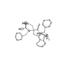 CC(NC(=O)C(CC#N)(Cc1c[nH]c2ccccc12)N(Cc1ccccc1)C(=O)O)c1ccccc1